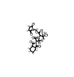 C[C@@]1(Cl)CS[C@@H]2C(N3C(=O)C4CCCCC4C3=O)C(=O)N2C1C(=O)OCN1C(=O)CCC1=O